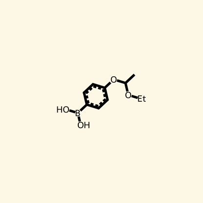 CCOC(C)Oc1ccc(B(O)O)cc1